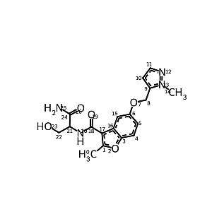 Cc1oc2ccc(OCc3ccnn3C)cc2c1C(=O)NC(CO)C(N)=O